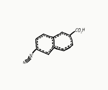 N#[N+]c1ccc2cc(C(=O)O)ccc2c1